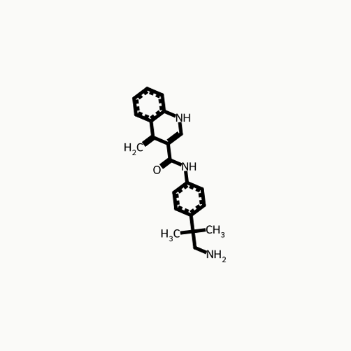 C=C1C(C(=O)Nc2ccc(C(C)(C)CN)cc2)=CNc2ccccc21